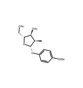 COc1ccc(O[C@@H]2O[C@H](COC(C)=O)[C@@H](OC(C)=O)[C@H]2C)cc1